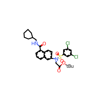 CC(C)(C)OC(=O)CN(c1ccc2c(C(=O)NCC3CCCCC3)cccc2c1)S(=O)(=O)c1cc(Cl)cc(Cl)c1